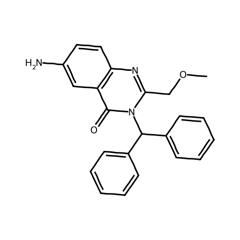 COCc1nc2ccc(N)cc2c(=O)n1C(c1ccccc1)c1ccccc1